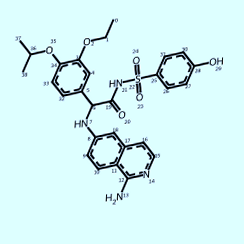 CCOc1cc(C(Nc2ccc3c(N)nccc3c2)C(=O)NS(=O)(=O)c2ccc(O)cc2)ccc1OC(C)C